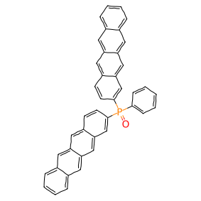 O=P(c1ccccc1)(c1ccc2cc3cc4ccccc4cc3cc2c1)c1ccc2cc3cc4ccccc4cc3cc2c1